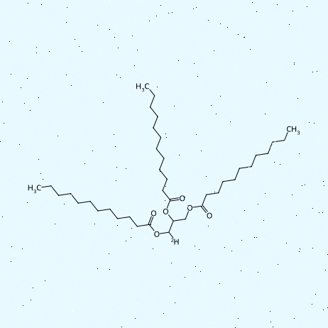 [2H]C(OC(=O)CCCCCCCCCCC)C(COC(=O)CCCCCCCCCCC)OC(=O)CCCCCCCCCCC